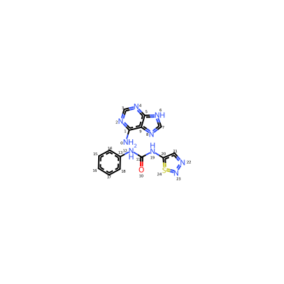 Nc1ncnc2[nH]cnc12.O=C(Nc1ccccc1)Nc1cnns1